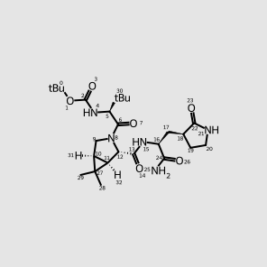 CC(C)(C)OC(=O)N[C@H](C(=O)N1C[C@H]2[C@@H]([C@H]1C(=O)N[C@@H](C[C@@H]1CCNC1=O)C(N)=O)C2(C)C)C(C)(C)C